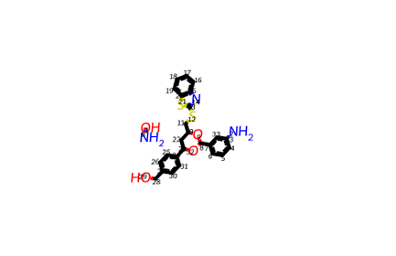 NO.Nc1cccc(C2OC(CSc3nc4ccccc4s3)CC(c3ccc(CO)cc3)O2)c1